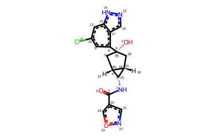 O=C(N[C@@H]1[C@@H]2C[C@@](O)(c3cc(Cl)cc4[nH]ncc34)C[C@@H]21)c1cnoc1